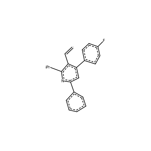 [CH]=Cc1c(-c2ccc(F)cc2)cc(-c2ccccc2)nc1C(C)C